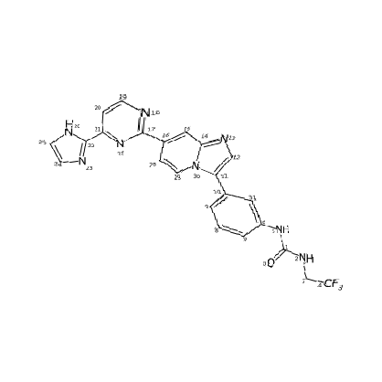 O=C(NCC(F)(F)F)Nc1cccc(-c2cnc3cc(-c4nccc(-c5ncc[nH]5)n4)ccn23)c1